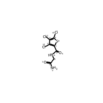 NC(=O)CNC(=O)c1sc(Cl)c(Cl)c1Cl